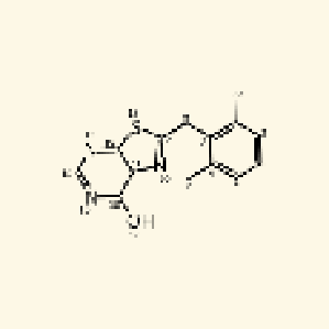 Cc1cccc(C)c1CC1=NC2C(=NC=NC2O)S1